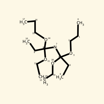 CCCOC(CC)([N]C(CC)(OCC)OCCC)OCC